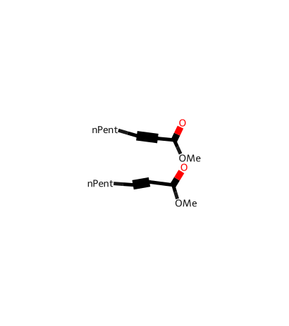 CCCCCC#CC(=O)OC.CCCCCC#CC(=O)OC